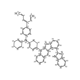 C=C/C=C(\C=C)c1ccc(N(C2=CCCC=C2)C2=CC=C(c3c4ccccc4cc4c3oc3cccc(-c5nc6ccccc6o5)c34)CC2)cc1